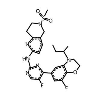 CCC(C)N1CCOc2c(F)cc(-c3nc(Nc4ccc5c(n4)CCN(S(C)(=O)=O)C5)ncc3F)cc21